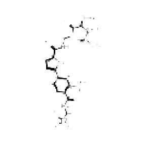 CCCCCC(C(=O)NCNC(=O)c1ccc(-c2ccc(C(=O)NCP(=O)(O)O)c(OCC)c2)o1)[C@@H](CC)N(O)C=O